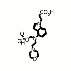 O=C(O)CCn1ccc2c(N(CCN3CCOCC3)CO[SH](=O)=O)cccc21